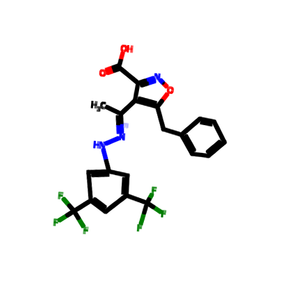 C/C(=N\Nc1cc(C(F)(F)F)cc(C(F)(F)F)c1)c1c(C(=O)O)noc1Cc1ccccc1